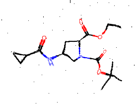 CCOC(=O)[C@@H]1C[C@H](NC(=O)C2CC2)CN1C(=O)OC(C)(C)C